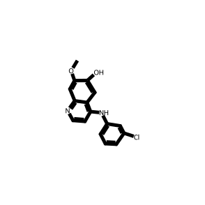 COc1cc2nccc(Nc3cccc(Cl)c3)c2cc1O